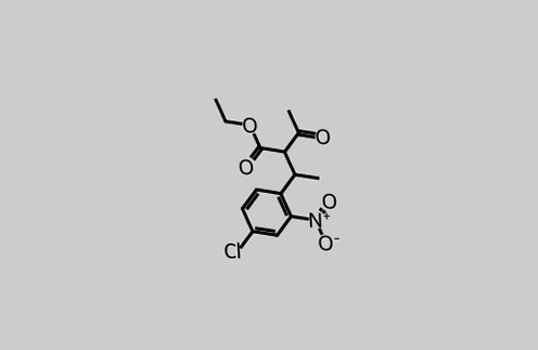 CCOC(=O)C(C(C)=O)C(C)c1ccc(Cl)cc1[N+](=O)[O-]